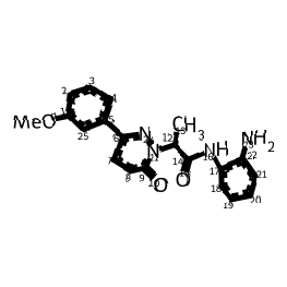 COc1cccc(-c2ccc(=O)n(C(C)C(=O)Nc3ccccc3N)n2)c1